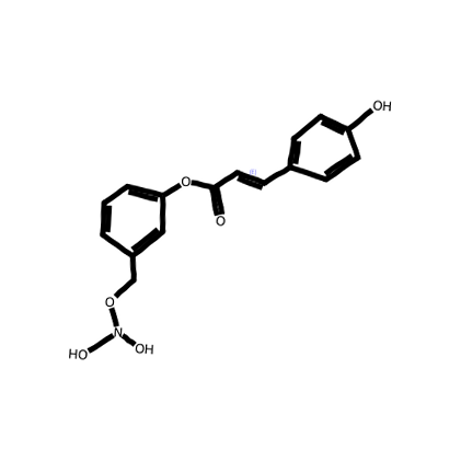 O=C(/C=C/c1ccc(O)cc1)Oc1cccc(CON(O)O)c1